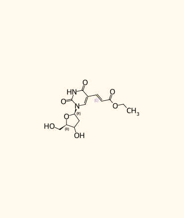 CCOC(=O)/C=C/c1cn([C@H]2CC(O)[C@@H](CO)O2)c(=O)[nH]c1=O